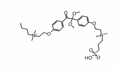 CCCC[N+](C)(C)CCOc1ccc(C(=O)C(OC)(OC)c2ccc(OCC[N+](C)(C)CCCS(=O)(=O)O)cc2)cc1